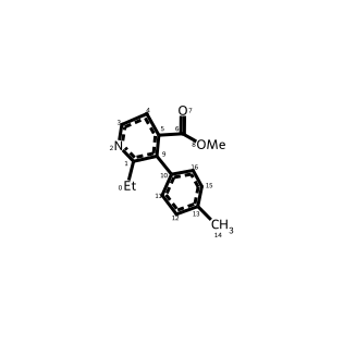 CCc1nccc(C(=O)OC)c1-c1ccc(C)cc1